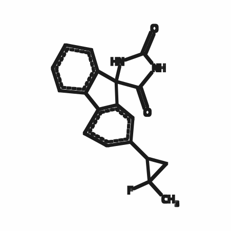 CC1(F)CC1c1ccc2c(c1)C1(NC(=O)NC1=O)c1ccccc1-2